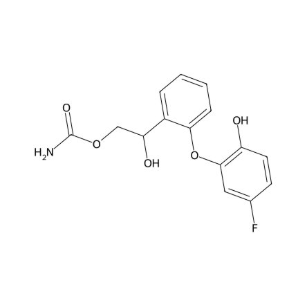 NC(=O)OCC(O)c1ccccc1Oc1cc(F)ccc1O